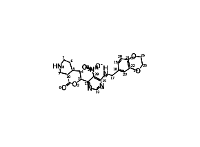 O=COC(CC1CCNCC1)c1ncnc(NCc2ccc3c(c2)OCCO3)c1[N+](=O)[O-]